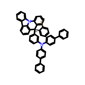 CSc1ccccc1[C@]1(c2cccc(N(c3ccc(-c4ccccc4)cc3)c3ccc(-c4ccccc4)cc3)c2)c2ccccc2-n2c3ccccc3c3cccc1c32